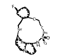 O=S1(=O)NCCOc2ccc(F)cc2CNc2ccn3ncc(c3n2)N1